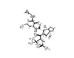 CCC[C@H](NC(=O)[C@@H]1[C@H]2CCC[C@H]2CN1C(=O)[C@@H](NC(C)=O)C(C)(C)C)C(=O)C(=O)NC1CC1